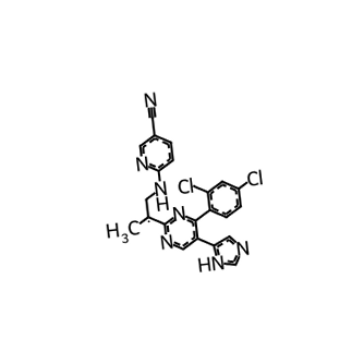 C[C](CNc1ccc(C#N)cn1)c1ncc(-c2cnc[nH]2)c(-c2ccc(Cl)cc2Cl)n1